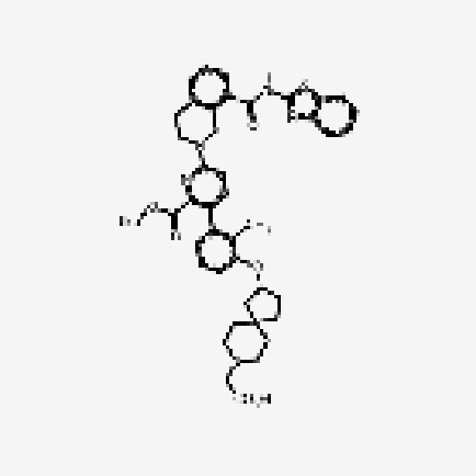 CCOC(=O)CN1CCC2(CC[C@H](Oc3cccc(-c4ccc(N5CCc6cccc(C(=O)Nc7nc8ccccc8s7)c6C5)nc4C(=O)OC(C)(C)C)c3C)C2)CC1